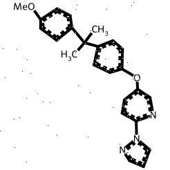 COc1ccc(C(C)(C)c2ccc(Oc3ccc(-n4cccn4)nc3)cc2)cc1